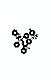 Cc1ccc(S(=O)(=O)[O-])cc1.Cn1c(-c2ccccc2)c(/C=C/c2n(-c3ccccc3)c3nc4cc(Cl)ccc4nc3[n+]2-c2ccccc2)c2ccccc21